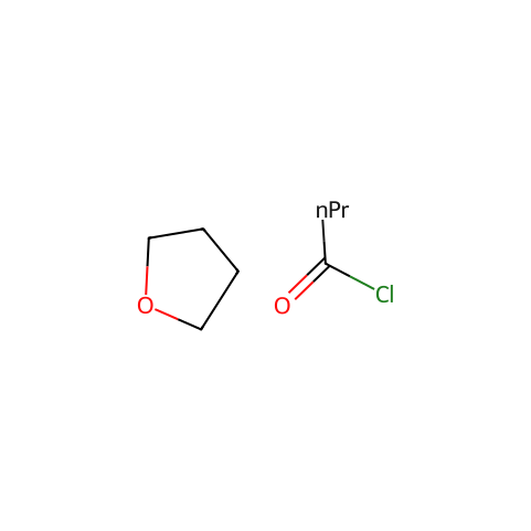 C1CCOC1.CCCC(=O)Cl